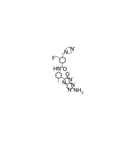 Cc1ccc(NC(=O)c2ccc(CN3CCN(C)CC3)c(CF)c2)cc1-c1nc2cnc(N)nc2n(C)c1=O